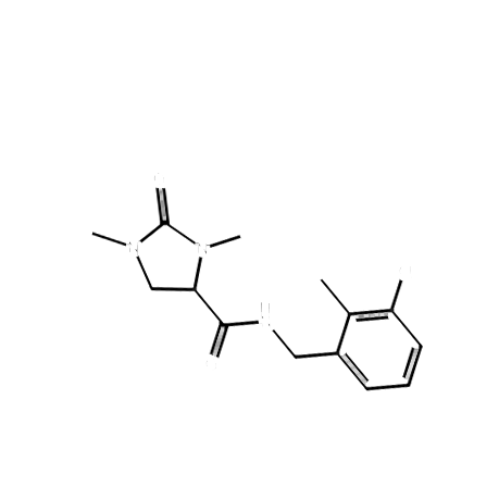 Cc1c(Cl)cccc1CNC(=O)C1CN(C)C(=O)N1C